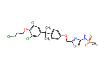 CC(C)(c1ccc(OCc2nc(NS(C)(=O)=O)co2)cc1)c1cc(Cl)c(OCCCCl)c(Cl)c1